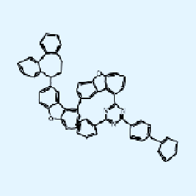 c1ccc(-c2ccc(-c3nc(-c4ccccc4)nc(-c4cccc5oc6ccc(-c7cccc8oc9ccc(C%10CCc%11ccccc%11-c%11ccccc%11%10)cc9c78)cc6c45)n3)cc2)cc1